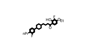 CCCc1ccc(C2CCC(CCCC(=O)c3ccc(OCC)c(F)c3O)CC2)cc1F